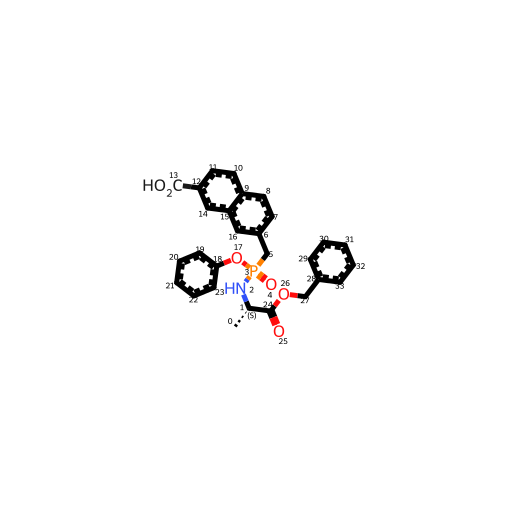 C[C@H](NP(=O)(Cc1ccc2ccc(C(=O)O)cc2c1)Oc1ccccc1)C(=O)OCc1ccccc1